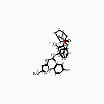 Cc1ccc(-n2nc(C(C)(C)C)cc2NC(=O)Nc2cccc(CC3CC4CCC(C3)N4C(=O)c3nc(C)oc3C(F)(F)F)c2)cc1